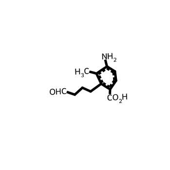 Cc1c(N)ccc(C(=O)O)c1CCCC=O